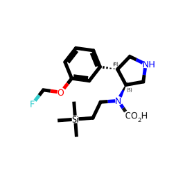 C[Si](C)(C)CCN(C(=O)O)[C@@H]1CNC[C@H]1c1cccc(OCF)c1